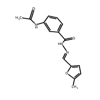 CC(=O)Nc1cccc(C(=O)N/N=C/c2ccc(C)o2)c1